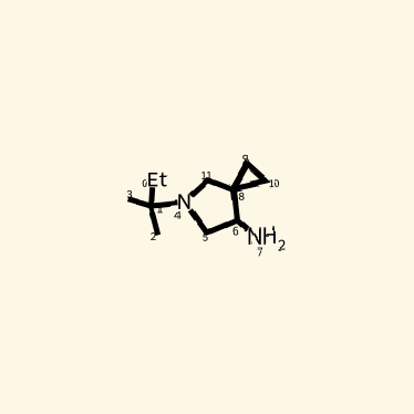 CCC(C)(C)N1CC(N)C2(CC2)C1